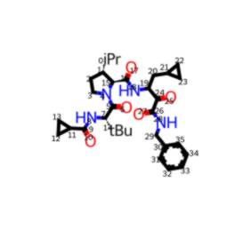 CC(C)[C@H]1CCN(C(=O)[C@@H](NC(=O)C2CC2)C(C)(C)C)[C@@H]1C(=O)NC(CC1CC1)C(=O)C(=O)NCc1ccccc1